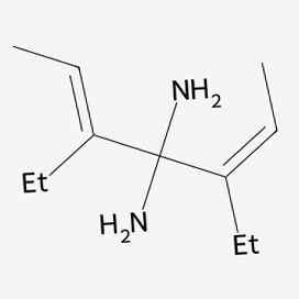 CC=C(CC)C(N)(N)C(=CC)CC